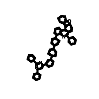 c1ccc(-c2cc(-c3cccc(-c4ccc(-c5ccc(-c6cccc7c6nc(-c6ccccc6)c6ccc8oc9ccccc9c8c67)cc5)cc4)c3)nc(-c3ccccc3)n2)cc1